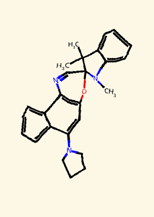 CN1c2ccccc2C(C)(C)C12C=Nc1c(cc(N3CCCC3)c3ccccc13)O2